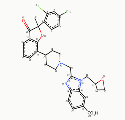 CC1(c2ccc(Cl)cc2F)Oc2c(cccc2C2CCN(Cc3nc4ccc(C(=O)O)cc4n3CC3CCO3)CC2)C1=O